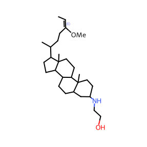 C/C=C(\CCC(C)C1CCC2C3CCC4CC(NCCO)CCC4(C)C3CCC12C)OC